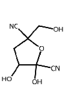 N#CC1(CO)CC(O)C(O)(C#N)O1